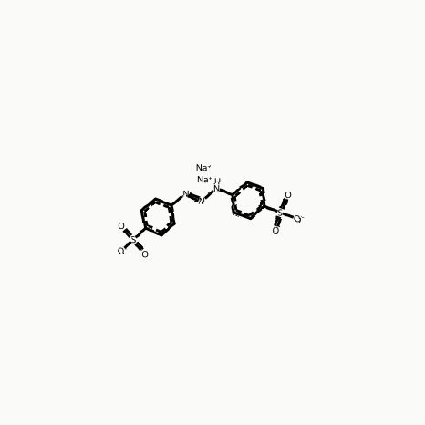 O=S(=O)([O-])c1ccc(/N=N/Nc2ccc(S(=O)(=O)[O-])cc2)cc1.[Na+].[Na+]